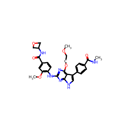 CNC(=O)c1ccc(-c2c[nH]c3nc(Nc4ccc(C(=O)NC5COC5)cc4OC)nc(OCCOC)c23)cc1